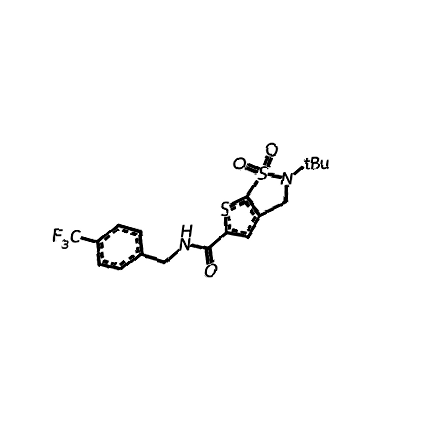 CC(C)(C)N1Cc2cc(C(=O)NCc3ccc(C(F)(F)F)cc3)sc2S1(=O)=O